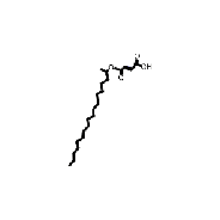 CCCCCCCCCCCCCCCCC(C)OC(=O)/C=C/C(=O)O